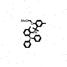 COCOc1ccc(C)cc1C(C)(C)Pc1c(C)cccc1P(c1ccccc1)c1ccccc1